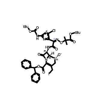 CC(C)(C)OC(=O)Nc1nc(/C(=N/OC(C)(C)C(=O)OC(C)(C)C)C(=O)N[C@@H]2C(=O)N3C(C(=O)OC(c4ccccc4)c4ccccc4)=C(CI)C[S@@+]([O-])[C@H]23)c(Cl)s1